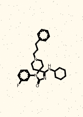 O=C1N=C(NC2CCCCC2)C2(CCN(CCCc3ccccc3)CC2)N1c1cccc(F)c1